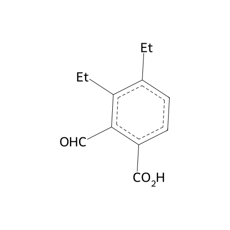 CCc1ccc(C(=O)O)c(C=O)c1CC